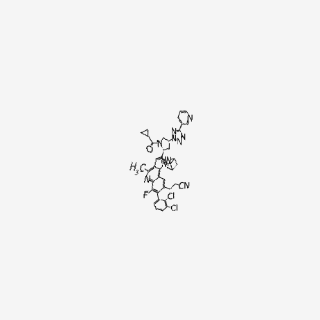 Cc1nc2c(F)c(-c3cccc(Cl)c3Cl)c(CCC#N)cc2c2c1cc(C1CC(n3nnc(-c4cccnc4)n3)CN1C(=O)C1CC1)n2C1C2CNC1C2